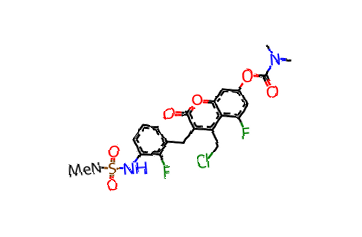 CNS(=O)(=O)Nc1cccc(Cc2c(CCl)c3c(F)cc(OC(=O)N(C)C)cc3oc2=O)c1F